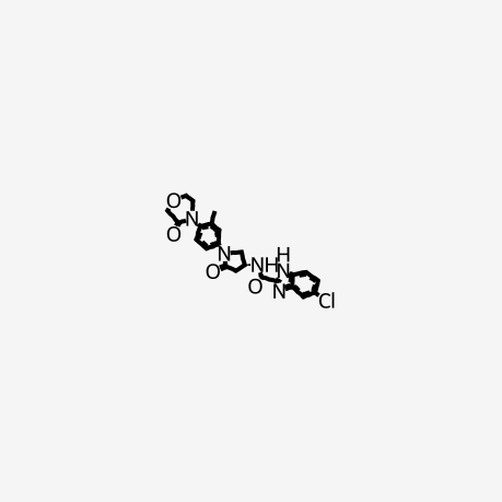 Cc1cc(N2C[C@H](NC(=O)c3nc4cc(Cl)ccc4[nH]3)CC2=O)ccc1N1CCOCC1=O